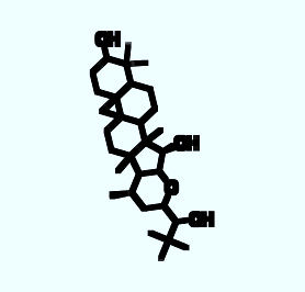 C[C@@H]1CC(C(O)C(C)(C)C)OC2C1C1(C)CCC34CC35CCC(O)C(C)(C)C5CCC4C1(C)[C@H]2O